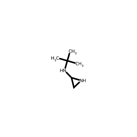 CC(C)(C)NC1CN1